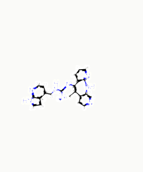 C=N/C(=N\C1=C(C)c2ccncc2Nc2ncccc21)NCc1ccnc2[nH]ccc12